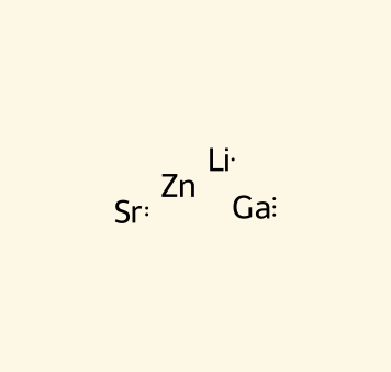 [Ga].[Li].[Sr].[Zn]